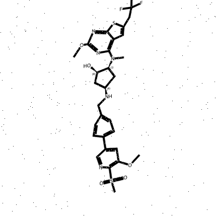 COc1nc(N(C)[C@H]2C[C@@H](NCc3ccc(-c4cnc(S(C)(=O)=O)c(OC)c4)cc3)C[C@H]2O)c2cc(CC(F)(F)F)sc2n1